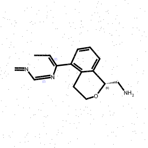 C=N/C=N\C(=C/C)c1cccc2c1CCO[C@H]2CN